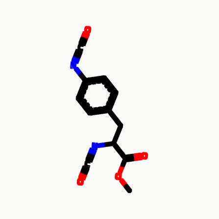 COC(=O)C(Cc1ccc(N=C=O)cc1)N=C=O